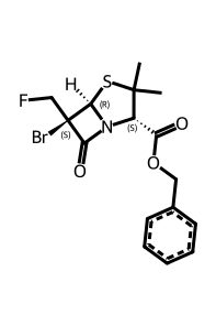 CC1(C)S[C@H]2N(C(=O)[C@]2(Br)CF)[C@H]1C(=O)OCc1ccccc1